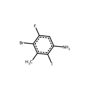 Cc1c(Br)c(F)cc(N)c1I